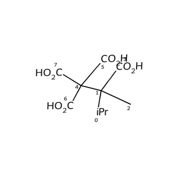 CC(C)C(C)(C(=O)O)C(C(=O)O)(C(=O)O)C(=O)O